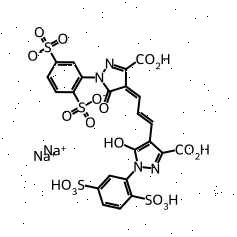 O=C(O)C1=NN(c2cc(S(=O)(=O)[O-])ccc2S(=O)(=O)[O-])C(=O)C1=CC=Cc1c(C(=O)O)nn(-c2cc(S(=O)(=O)O)ccc2S(=O)(=O)O)c1O.[Na+].[Na+]